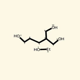 CCO.OCCCC(CO)CO